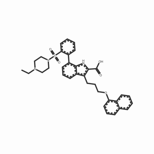 CCN1CCN(S(=O)(=O)c2ccccc2-c2cccc3c(CCCOc4cccc5ccccc45)c(C(=O)O)[nH]c23)CC1